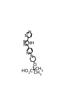 CC(C)(COC1CCN(c2ccc(-c3nnc(-c4ccncn4)[nH]3)cn2)CC1)C(=O)O